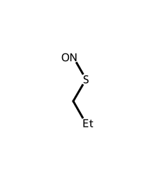 CCCSN=O